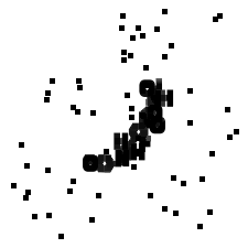 CCC(=O)NC[C@H]1CN(c2ccc(C3[C@H]4CN(Cc5ccc(OC)cc5)C[C@@H]34)c(F)c2)C(=O)O1